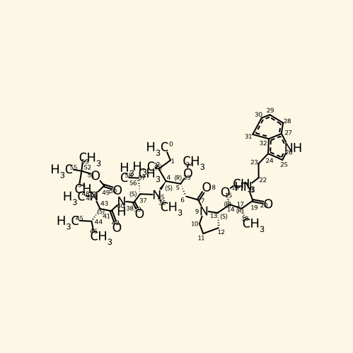 CC[C@H](C)[C@@H]([C@@H](CC(=O)N1CCC[C@H]1[C@H](OC)[C@@H](C)C(=O)NCCc1c[nH]c2ccccc12)OC)N(C)[C@H](C(=O)NC(=O)[C@H](C(C)C)N(C)C(=O)OC(C)(C)C)C(C)C